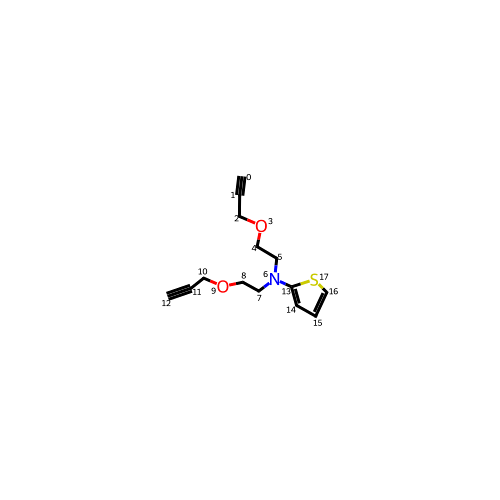 C#CCOCCN(CCOCC#C)c1cccs1